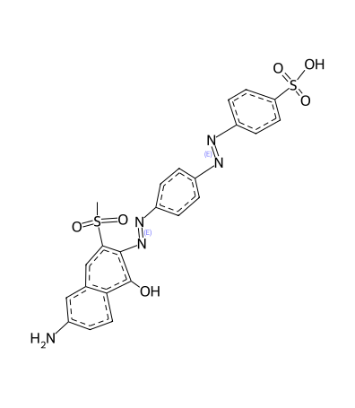 CS(=O)(=O)c1cc2cc(N)ccc2c(O)c1/N=N/c1ccc(/N=N/c2ccc(S(=O)(=O)O)cc2)cc1